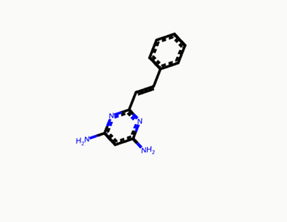 Nc1cc(N)nc(C=Cc2ccccc2)n1